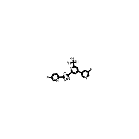 [2H]C([2H])([2H])c1cc(-c2cncc(F)c2)cc(-c2nnc(-c3ccc(F)cn3)o2)n1